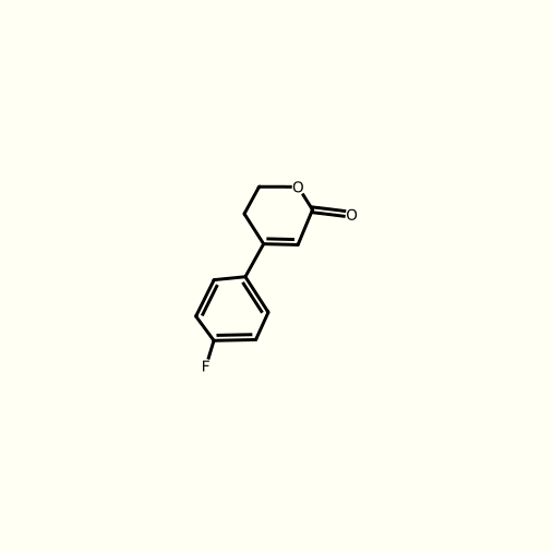 O=C1C=C(c2ccc(F)cc2)CCO1